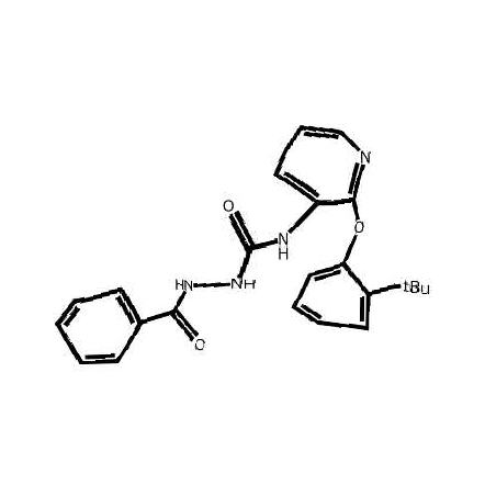 CC(C)(C)c1ccccc1Oc1ncccc1NC(=O)NNC(=O)c1ccccc1